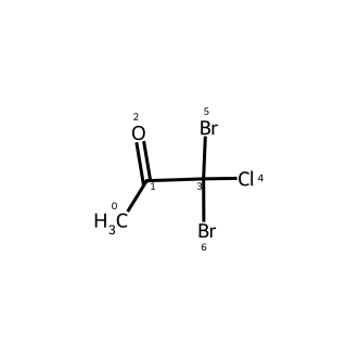 CC(=O)C(Cl)(Br)Br